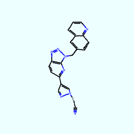 N#CCn1cc(-c2ccc3nnn(Cc4ccc5ncccc5c4)c3n2)cn1